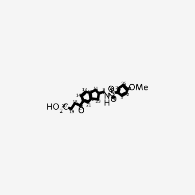 COc1ccc(S(=O)(=O)NCC2Cc3ccc(C(=O)CCC(=O)O)cc3C2)cc1